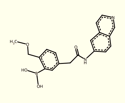 COCc1ccc(CC(=O)Nc2ccc3cnccc3c2)cc1B(O)O